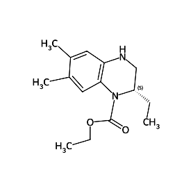 CCOC(=O)N1c2cc(C)c(C)cc2NC[C@@H]1CC